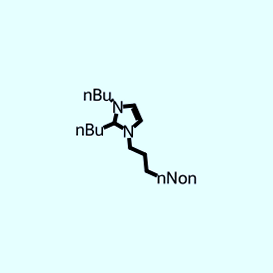 CCCCCCCCCCCCN1C=CN(CCCC)C1CCCC